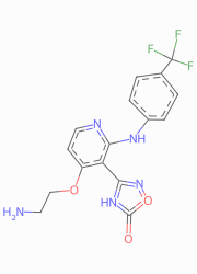 NCCOc1ccnc(Nc2ccc(C(F)(F)F)cc2)c1-c1noc(=O)[nH]1